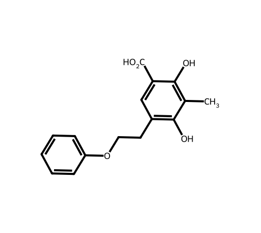 Cc1c(O)c(CCOc2ccccc2)cc(C(=O)O)c1O